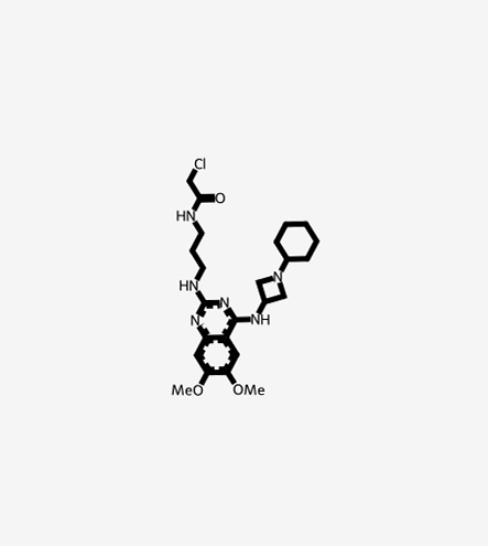 COc1cc2nc(NCCCNC(=O)CCl)nc(NC3CN(C4CCCCC4)C3)c2cc1OC